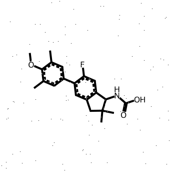 COc1c(C)cc(-c2cc3c(cc2F)C(NC(=O)O)C(C)(C)C3)cc1C